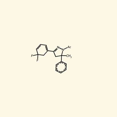 CC(=O)N1N=C(C2=CC=CC(F)(F)C2)CC1(C)c1ccccc1